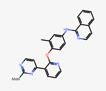 CNc1nccc(-c2cccnc2Oc2ccc(Nc3nccc4ccccc34)cc2C)n1